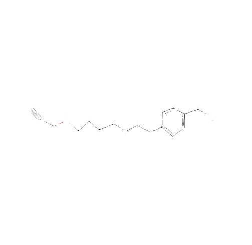 C#CCOCCCCCCCc1ccc(CC(=O)OCC)cc1